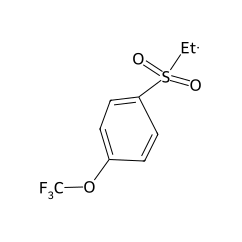 C[CH]S(=O)(=O)c1ccc(OC(F)(F)F)cc1